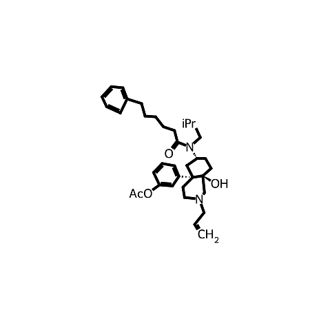 C=CCN1CC[C@@]2(c3cccc(OC(C)=O)c3)C[C@H](N(CC(C)C)C(=O)CCCCCc3ccccc3)CC[C@]2(O)C1